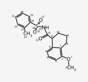 COc1cccc2c1CCCC2C(=O)NS(=O)(=O)c1ccccc1C